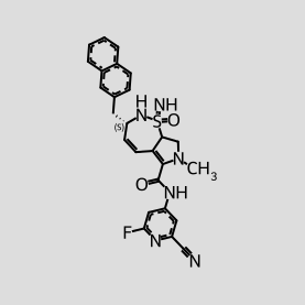 CN1CC2C(=C1C(=O)Nc1cc(F)nc(C#N)c1)C=C[C@H](Cc1ccc3ccccc3c1)NS2(=N)=O